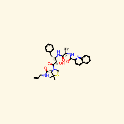 C=CCNC(=O)[C@H]1N(C(=O)[C@@H](O)[C@H](Cc2ccccc2)NC(=O)[C@@H](NC(=O)c2ccc3ccccc3n2)C(C)C)CSC1(C)C